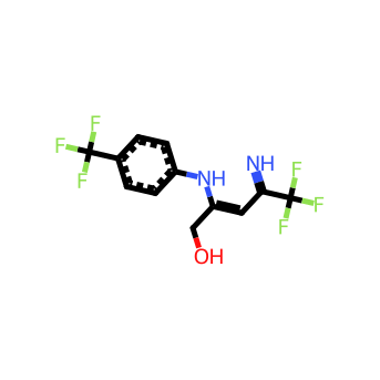 N=C(/C=C(/CO)Nc1ccc(C(F)(F)F)cc1)C(F)(F)F